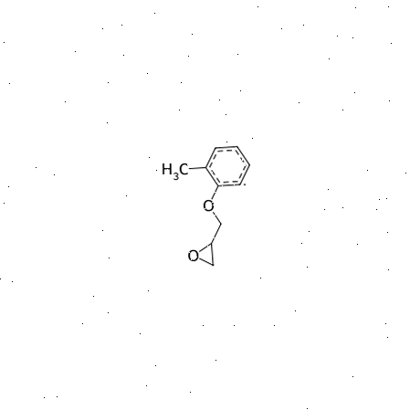 Cc1ccc[c]c1OCC1CO1